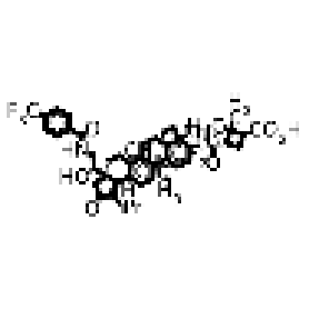 CC(C)C1=C2[C@H]3CC[C@]4(C)[C@@]5(C)CC[C@H](OC(=O)[C@H]6C[C@@H](C(=O)O)C6(C)C)[C@@]6(C)CC[C@@]56CC[C@@]4(C)[C@]3(C)CC[C@@]2([C@@H](O)CNC(=O)c2ccc(C(F)(F)F)cc2)CC1=O